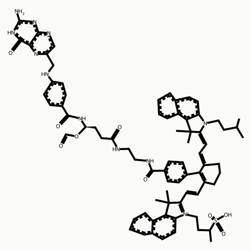 CC(C)CCN1/C(=C/C=C2\CCCC(/C=C/C3=[N+](CCC(C)S(=O)(=O)O)c4ccc5ccccc5c4C3(C)C)=C2c2ccc(C(=O)NCCNC(=O)CC[C@H](NC(=O)c3ccc(NCc4cnc5nc(N)[nH]c(=O)c5n4)cc3)OC=O)cc2)C(C)(C)c2c1ccc1ccccc21